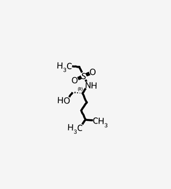 CCS(=O)(=O)N[C@@H](CO)CCC(C)C